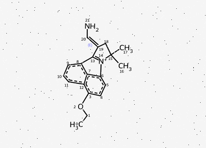 CCOc1ccc2c3c(cccc13)C1=[N+]2C(C)(C)C/C1=C\N